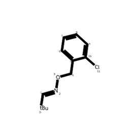 CC(C)(C)C=NOCc1ccccc1Cl